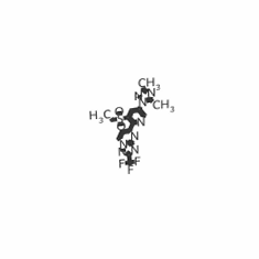 CCS(=O)(=O)c1cc(-n2nc(C)nc2C)cnc1-c1ccn2nc(C(F)(F)F)nc2n1